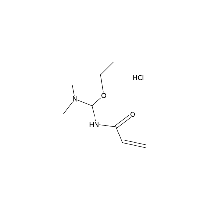 C=CC(=O)NC(OCC)N(C)C.Cl